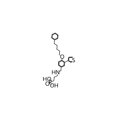 O=P(O)(O)CCCNCc1ccc(OCCCCCc2ccccc2)c(-c2ccsc2)c1